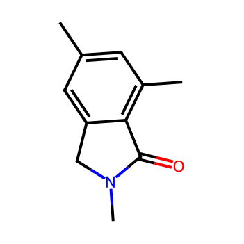 Cc1cc(C)c2c(c1)CN(C)C2=O